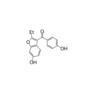 CCc1oc2cc(O)ccc2c1C(=O)c1ccc(O)cc1